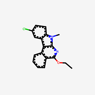 CCOc1nc2c(c3ccccc13)c1cc(Cl)ccc1n2C